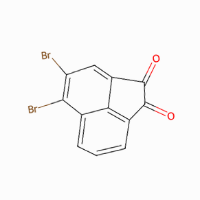 O=C1C(=O)c2cc(Br)c(Br)c3cccc1c23